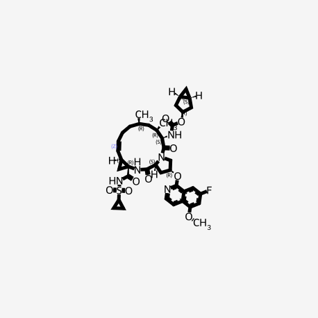 COc1cc(F)cc2c(O[C@@H]3C[C@H]4C(=O)N[C@]5(C(=O)NS(=O)(=O)C6CC6)C[C@H]5/C=C\CC[C@@H](C)C[C@@H](C)[C@H](NC(=O)O[C@@H]5C[C@@H]6C[C@@H]6C5)C(=O)N4C3)nccc12